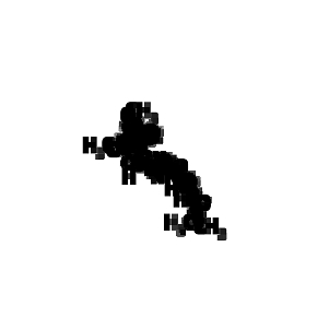 COc1ccc(C(OC[C@H]2O[C@@H](n3cnc4c(NC(=O)c5ccc(CNC(=O)CCC(C)C)cc5)ncnc43)CC2O)(c2ccccc2)c2ccc(OC)cc2)cc1